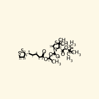 CC(OC(=O)CCCC[C@@H]1CCSS1)OC(=O)N1CSC(C)(C)[C@@H]1C(=O)OC(C)(C)C